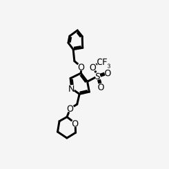 O=S(=O)(OC(F)(F)F)c1cc(COC2CCCCO2)ncc1OCc1ccccc1